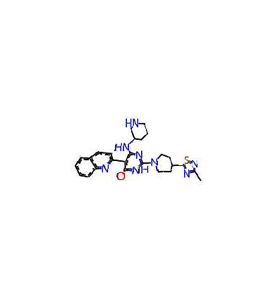 Cc1nsc(C2CCN(c3nc(N[C@@H]4CCCNC4)c(-c4ccc5ccccc5n4)c(=O)[nH]3)CC2)n1